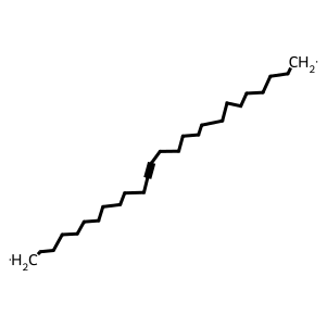 [CH2]CCCCCCCCCCC#CCCCCCCCCCCCC[CH2]